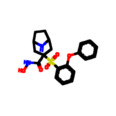 O=C(NO)C1(S(=O)(=O)c2ccccc2Oc2ccccc2)CC2CCC(C1)N2